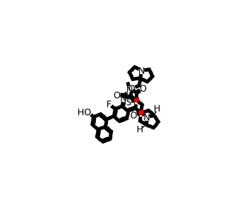 CN1C(=O)SC(CC(=O)N2[C@@H]3CC[C@H]2CN(c2nc(OCC45CCCN4CCC5)nc4c(F)c(-c5cc(O)cc6ccccc56)ccc24)C3)C1=O